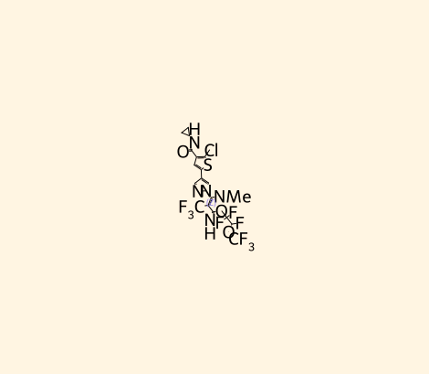 CN/C(=C(\C(=N)OC(F)(F)C(F)OC(F)(F)F)C(F)(F)F)n1cc(-c2cc(C(=O)NC3CC3)c(Cl)s2)cn1